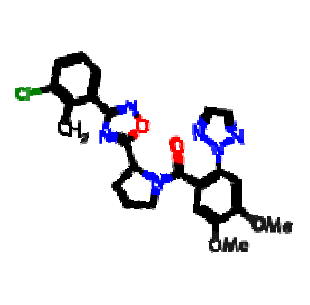 COc1cc(C(=O)N2CCCC2c2nc(-c3cccc(Cl)c3C)no2)c(-n2nccn2)cc1OC